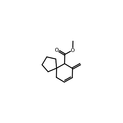 C=C1C=CCC2(CCCC2)C1C(=O)OC